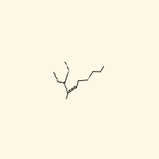 CCCCCC=C(C)C(CC)CC